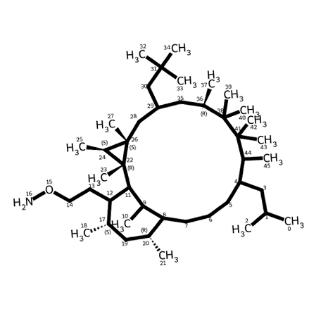 CC(C)CC1CCCC2C(C)C(C(CCON)[C@@H](C)C[C@H]2C)[C@]2(C)[C@@H](C)[C@]2(C)CC(CC(C)(C)C)C[C@@H](C)C(C)(C)C(C)(C)C1C